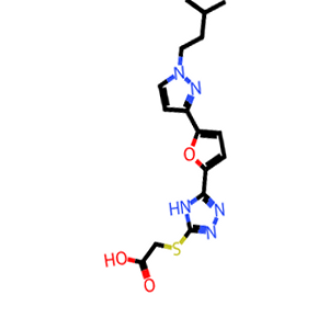 CC(C)CCn1ccc(-c2ccc(-c3nnc(SCC(=O)O)[nH]3)o2)n1